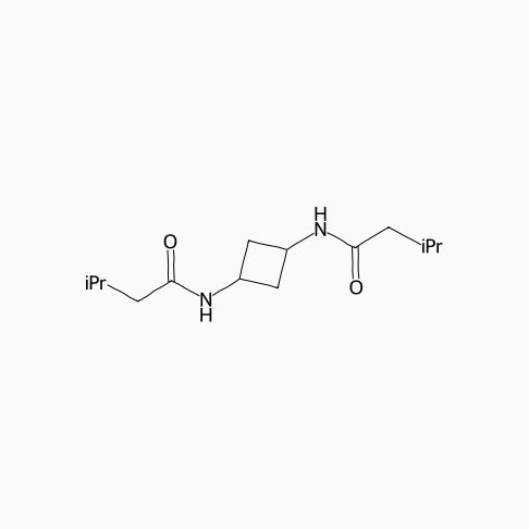 CC(C)CC(=O)NC1CC(NC(=O)CC(C)C)C1